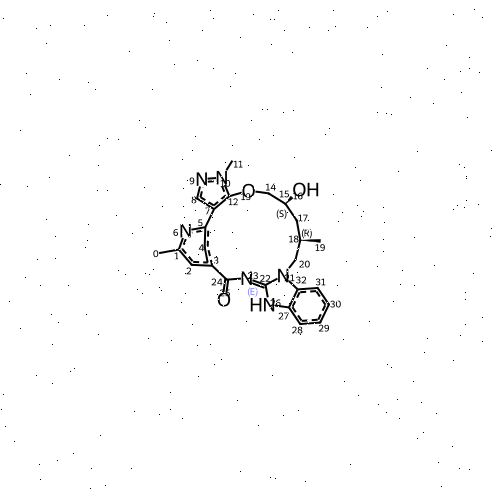 Cc1cc2cc(n1)-c1cnn(C)c1OC[C@@H](O)C[C@@H](C)CN1/C(=N/C2=O)Nc2ccccc21